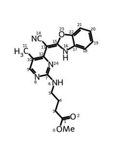 COC(=O)CCCNc1ncc(C)c(/C(C#N)=C2\Nc3ccccc3O2)n1